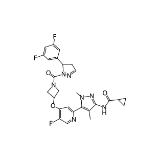 Cc1c(NC(=O)C2CC2)nn(C)c1-c1cc(OC2CN(C(=O)N3N=CCC3c3cc(F)cc(F)c3)C2)c(F)cn1